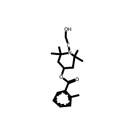 Cc1ccccc1C(=O)OC1CC(C)(C)N(CCO)C(C)(C)C1